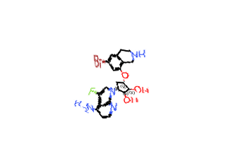 Nc1ccnc2c1c(F)cn2[C@@H]1C[C@H](Oc2cc(Br)cc3c2CNCC3)[C@@H](O)[C@H]1O